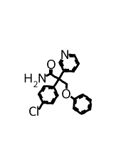 NC(=O)C(COc1ccccc1)(c1ccc(Cl)cc1)c1cccnc1